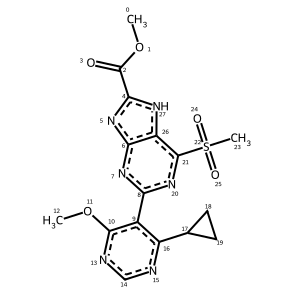 COC(=O)c1nc2nc(-c3c(OC)ncnc3C3CC3)nc(S(C)(=O)=O)c2[nH]1